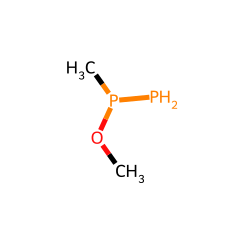 COP(C)P